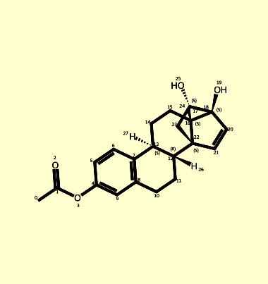 CC(=O)Oc1ccc2c(c1)CC[C@@H]1[C@@H]2CC[C@]2(C)[C@@]3(O)C=C[C@]12C[C@@H]3O